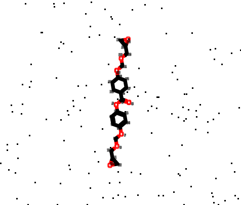 O=C(Oc1ccc(OCOCC2CO2)cc1)C1CCC(OCOCC2CO2)CC1